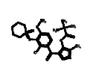 COc1ccc(C(=O)c2cnn(C)c2OC(=O)C(C)(C)C)c(Cl)c1N=S1(=O)CCCCC1